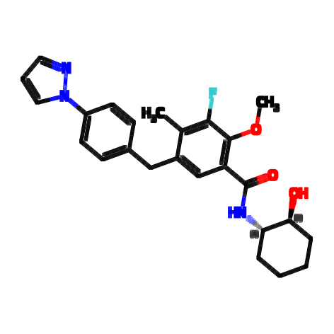 COc1c(C(=O)N[C@H]2CCCC[C@@H]2O)cc(Cc2ccc(-n3cccn3)cc2)c(C)c1F